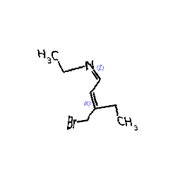 CC/N=C\C=C(/CC)CBr